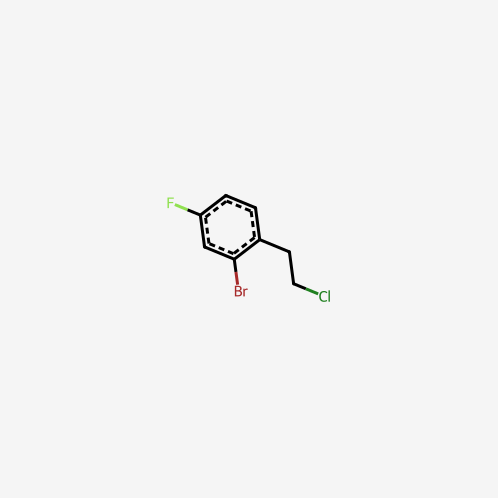 Fc1ccc(CCCl)c(Br)c1